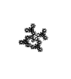 O=C(c1cc(-c2cccc(-c3nc(-c4ccccc4)nc(-c4ccccc4)n3)c2)cc(-c2cccc(-c3nc(-c4ccccc4)nc(-c4ccccc4)n3)c2)c1)c1cc(-c2cccc(-c3nc(-c4ccccc4)nc(-c4ccccc4)n3)c2)cc(-c2cccc(-c3nc(-c4ccccc4)nc(-c4ccccc4)n3)c2)c1